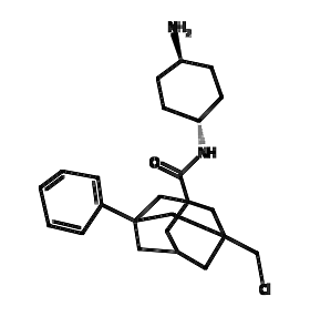 N[C@H]1CC[C@H](NC(=O)C23CC4CC(CCl)(C2)CC(c2ccccc2)(C4)C3)CC1